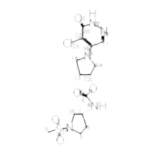 CS(=O)(=O)N1CC[C@@H](NC(=O)O[C@@H]2CCN(c3cn[nH]c(=O)c3Cl)C2)C1